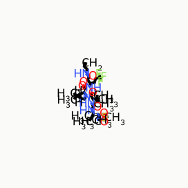 C=CCNC(=O)C(=O)C(CCC(F)(F)F)NC(=O)[C@@H]1[C@@H]2[C@H](CN1C(=O)[C@@H](NC(=O)N[C@H](CN(C)S(C)(=O)=O)C(C)(C)C)C(C)(C)C)C2(C)C